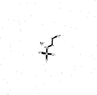 O=S(=O)([O-])NCCO.[Na+]